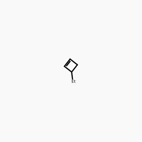 CCC1C=CC1